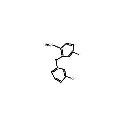 CCOC(=O)c1ccc(F)cc1Oc1cccc(Cl)c1